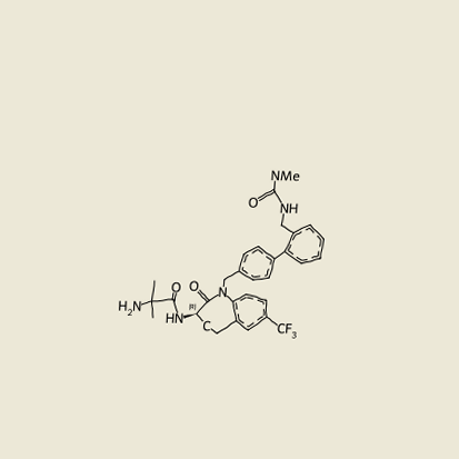 CNC(=O)NCc1ccccc1-c1ccc(CN2C(=O)[C@H](NC(=O)C(C)(C)N)CCc3cc(C(F)(F)F)ccc32)cc1